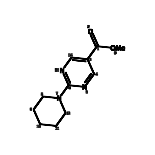 COC(=O)c1cnc(N2CCCCC2)nc1